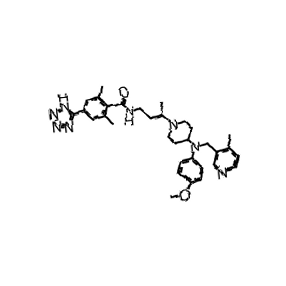 COc1ccc(N(Cc2cnccc2C)C2CCN([C@H](C)CCNC(=O)c3c(C)cc(-c4nnn[nH]4)cc3C)CC2)cc1